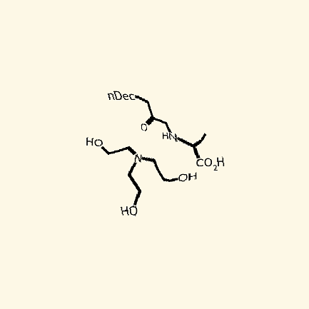 CCCCCCCCCCCC(=O)CNC(C)C(=O)O.OCCN(CCO)CCO